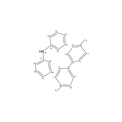 Cc1ccc(-c2ccc(C)cc2)cc1.c1ccc(Nc2ccccc2)cc1